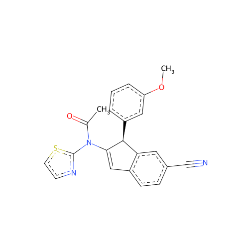 COc1cccc([C@@H]2C(N(C(C)=O)c3nccs3)=Cc3ccc(C#N)cc32)c1